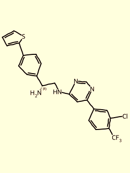 N[C@@H](CNc1cc(-c2ccc(C(F)(F)F)c(Cl)c2)ncn1)c1ccc(-c2cccs2)cc1